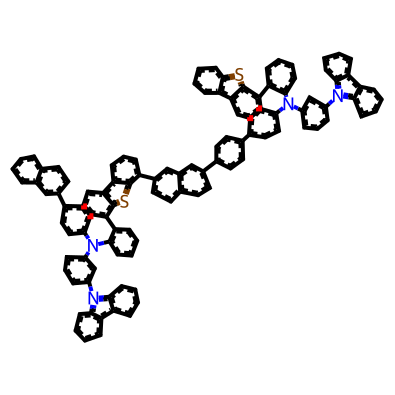 c1cc(N(c2ccc(-c3ccc(-c4ccc5ccc(-c6cccc7c6sc6c(-c8ccccc8N(c8ccc(-c9ccc%10ccccc%10c9)cc8)c8cccc(-n9c%10ccccc%10c%10ccccc%109)c8)cccc67)cc5c4)cc3)cc2)c2ccccc2-c2cccc3c2sc2ccccc23)cc(-n2c3ccccc3c3ccccc32)c1